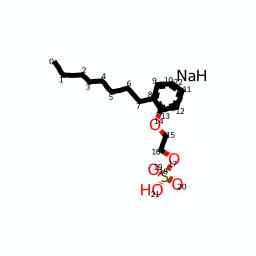 CCCCCCCCc1ccccc1OCCOS(=O)(=O)O.[NaH]